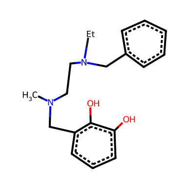 CCN(CCN(C)Cc1cccc(O)c1O)Cc1ccccc1